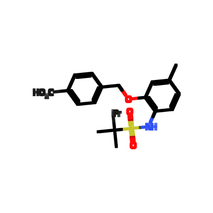 Cc1ccc(NS(=O)(=O)C(C)(C)C(C)C)c(OCc2ccc(C(=O)O)cc2)c1